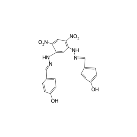 O=[N+]([O-])c1cc([N+](=O)[O-])c(NN=Cc2ccc(O)cc2)cc1NN=Cc1ccc(O)cc1